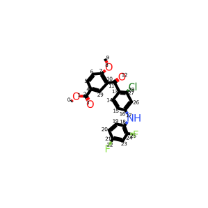 COC(=O)c1ccc(OC)c(C(=O)c2ccc(Nc3ccc(F)cc3F)cc2Cl)c1